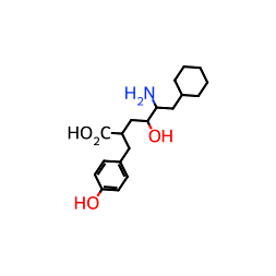 NC(CC1CCCCC1)C(O)CC(Cc1ccc(O)cc1)C(=O)O